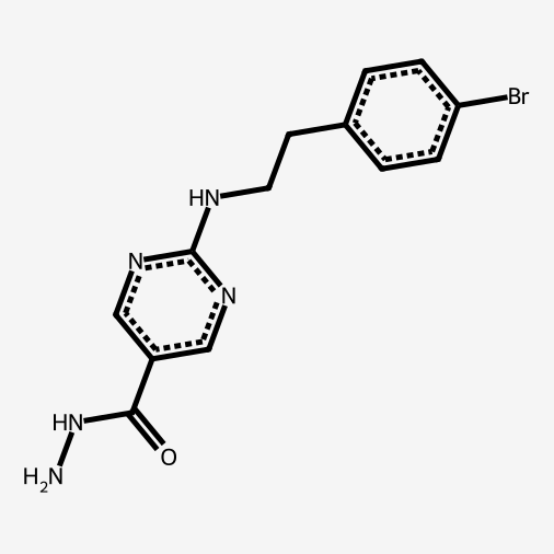 NNC(=O)c1cnc(NCCc2ccc(Br)cc2)nc1